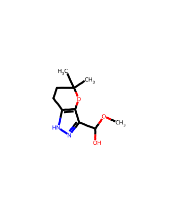 COC(O)c1n[nH]c2c1OC(C)(C)CC2